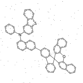 c1ccc(N(c2ccc3sc4ccccc4c3c2)c2cccc3cc(-c4ccc5c(c4)-c4ccccc4C54c5ccc6ccccc6c5Oc5c4ccc4ccccc54)ccc23)cc1